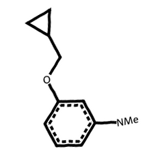 CNc1cccc(OCC2CC2)c1